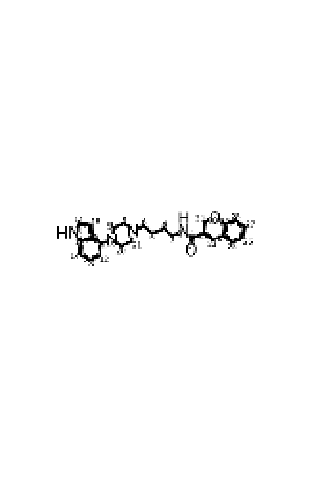 O=C(NCCCCN1CCN(c2cccc3[nH]ccc23)CC1)C1=Cc2ccccc2OC1